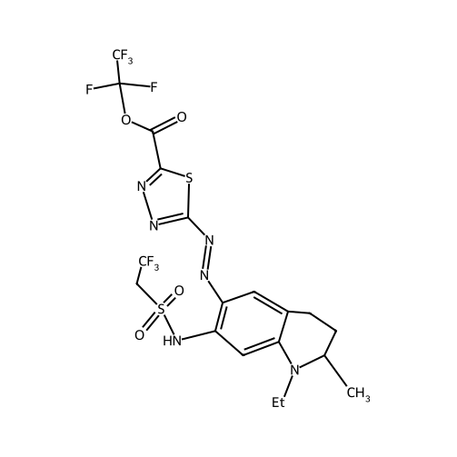 CCN1c2cc(NS(=O)(=O)CC(F)(F)F)c(N=Nc3nnc(C(=O)OC(F)(F)C(F)(F)F)s3)cc2CCC1C